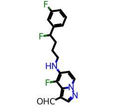 O=Cc1cnn2ccc(NCCCC(F)c3cccc(F)c3)c(F)c12